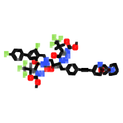 COC(=O)N[C@H](C(=O)N[C@@H](Cc1ccc(C#Cc2ccc(N3CC4CC(C3)N4C3COC3)nc2)cc1)[C@@H](O)CN(Cc1c(F)cc(-c2ccc(F)cc2)cc1F)NC(=O)[C@@H](NC(=O)OC)C(C)(C)C(F)(F)F)C(C)(C)C(F)(F)F